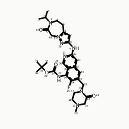 CC(C)N1CCc2cc(Nc3cc4cc(CN5CCN(C)CC5=O)c(F)c(NC(=O)OC(C)(C)C)c4cn3)nn2CC1=O